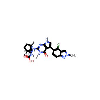 Cn1cc2c(Cl)c(-c3c[nH]c4nc(N5C[C@@H]6CC[C@H]5[C@H]6NC(=O)O)n(C)c(=O)c34)ccc2n1